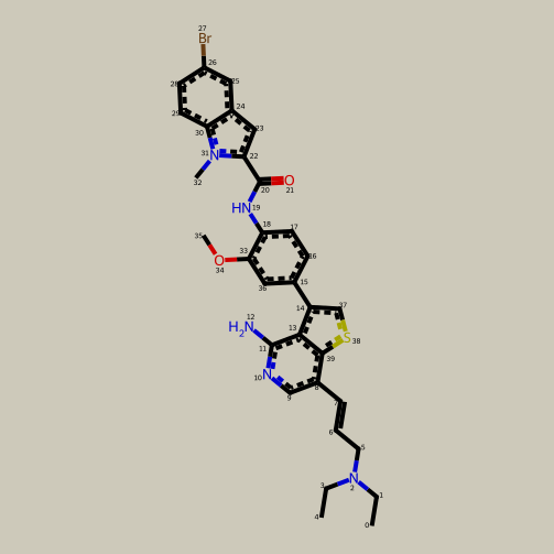 CCN(CC)CC=Cc1cnc(N)c2c(-c3ccc(NC(=O)c4cc5cc(Br)ccc5n4C)c(OC)c3)csc12